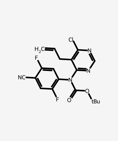 C=CCc1c(Cl)ncnc1N(C(=O)OC(C)(C)C)c1cc(F)c(C#N)cc1F